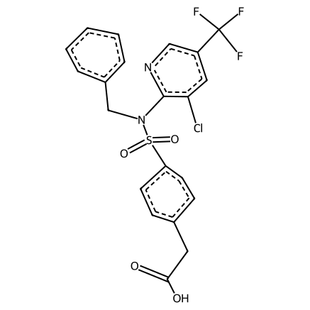 O=C(O)Cc1ccc(S(=O)(=O)N(Cc2ccccc2)c2ncc(C(F)(F)F)cc2Cl)cc1